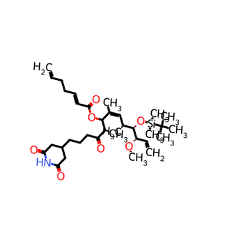 C=CCC/C=C/C(=O)OC(/C(C)=C\[C@@H](C)[C@H](O[Si](C)(C)C(C)(C)C)[C@H](C=C)OC)[C@H](C)C(=O)CCCC1CC(=O)NC(=O)C1